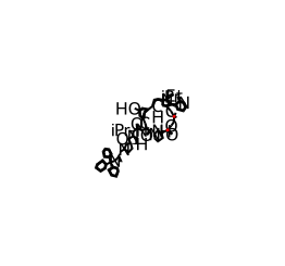 CCn1c(-c2cccnc2C(C)C)c2c3cc(ccc31)-c1cc(O)cc(c1)C[C@H](NC(=O)[C@H](C(C)C)N1CC[C@]3(CCN(C[C@H]4CN4C(c4ccccc4)(c4ccccc4)c4ccccc4)C3)C1=O)C(=O)N1CCC[C@H](N1)C(=O)OCC(C)(C)C2